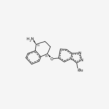 CCC(C)c1nnc2ccc(O[C@@H]3CC[C@H](N)c4ccccc43)cn12